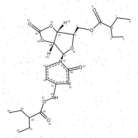 CCC(CC)C(=O)OC[C@H]1O[C@@H](n2ccc(NOC(=O)C(CC)CC)nc2=O)[C@@H]2OC(=O)O[C@@H]21